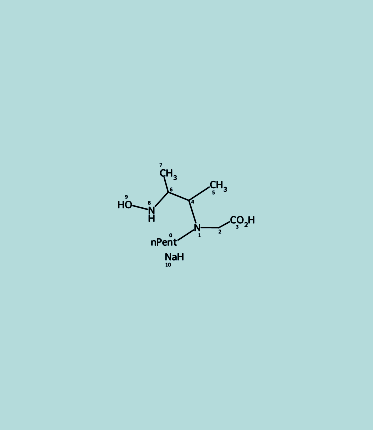 CCCCCN(CC(=O)O)C(C)C(C)NO.[NaH]